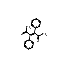 CC(=O)C(=C(C(C)=O)c1ccccc1)c1ccccc1